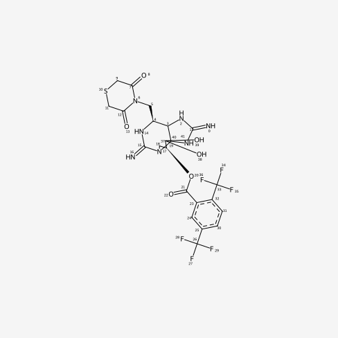 N=C1NC2[C@H](CN3C(=O)CSCC3=O)NC(=N)N3C[C@H](OC(=O)c4cc(C(F)(F)F)ccc4C(F)(F)F)C(O)(O)C23N1